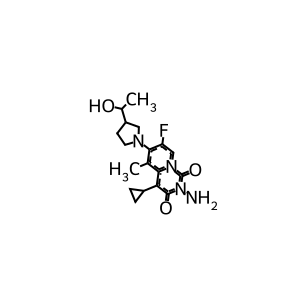 Cc1c(N2CCC(C(C)O)C2)c(F)cn2c(=O)n(N)c(=O)c(C3CC3)c12